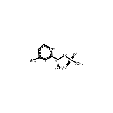 C[C@@H](OS(C)(=O)=O)c1cc(Br)ccn1